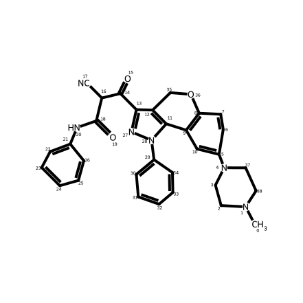 CN1CCN(c2ccc3c(c2)-c2c(c(C(=O)C(C#N)C(=O)Nc4ccccc4)nn2-c2ccccc2)CO3)CC1